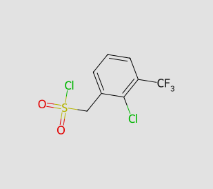 O=S(=O)(Cl)Cc1cccc(C(F)(F)F)c1Cl